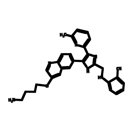 Cc1cccc(-c2nc(CNc3ccccc3C#N)[nH]c2-c2ccc3ncc(OCCCCN)cc3c2)n1